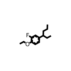 CCCC(CC)c1ccc(OCC)c(F)c1